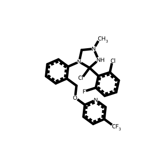 CN1CN(c2ccccc2COc2ccc(C(F)(F)F)cn2)C(Cl)(c2c(F)cccc2Cl)N1